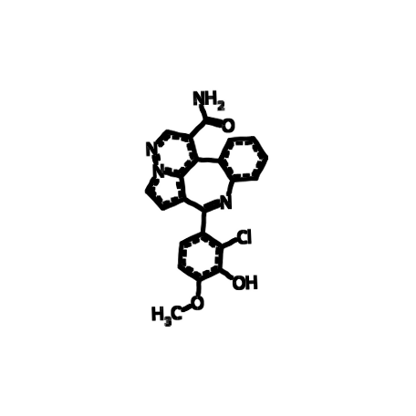 COc1ccc(C2=Nc3ccccc3-c3c(C(N)=O)cnn4ccc2c34)c(Cl)c1O